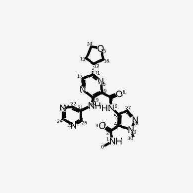 CNC(=O)c1c(NC(=O)c2nc([C@@H]3CCOC3)cnc2Nc2cncnc2)cnn1C